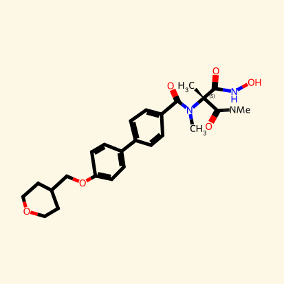 CNC(=O)[C@@](C)(C(=O)NO)N(C)C(=O)c1ccc(-c2ccc(OCC3CCOCC3)cc2)cc1